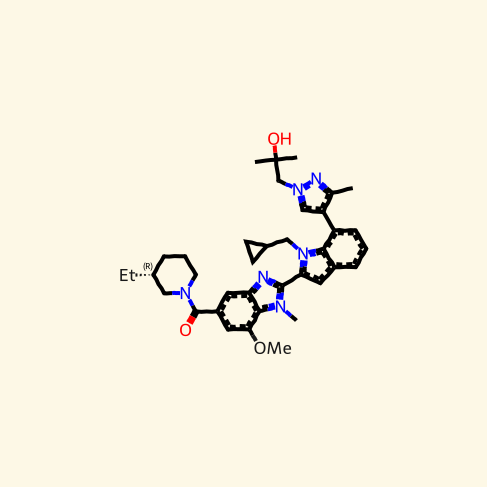 CC[C@@H]1CCCN(C(=O)c2cc(OC)c3c(c2)nc(-c2cc4cccc(-c5cn(CC(C)(C)O)nc5C)c4n2CC2CC2)n3C)C1